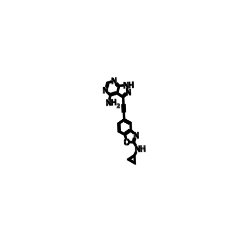 Nc1ncnc2[nH]nc(C#Cc3ccc4oc(NC5CC5)nc4c3)c12